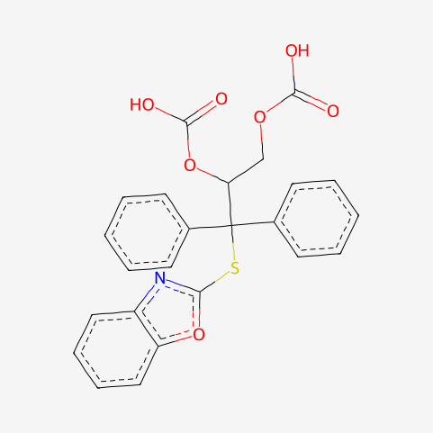 O=C(O)OCC(OC(=O)O)C(Sc1nc2ccccc2o1)(c1ccccc1)c1ccccc1